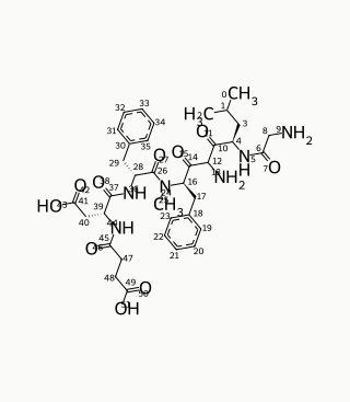 CC(C)C[C@@H](NC(=O)CN)C(=O)C(N)C(=O)[C@@H](Cc1ccccc1)N(C)C(=O)[C@@H](Cc1ccccc1)NC(=O)[C@@H](CC(=O)O)NC(=O)CCC(=O)O